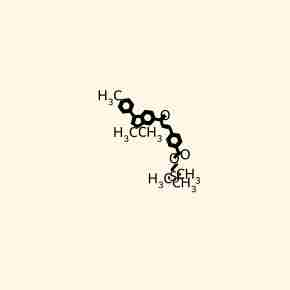 Cc1ccc(C2=CC(C)(C)c3cc(C(=O)C=Cc4ccc(C(=O)OCC[Si](C)(C)C)cc4)ccc32)cc1